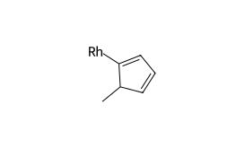 CC1C=CC=[C]1[Rh]